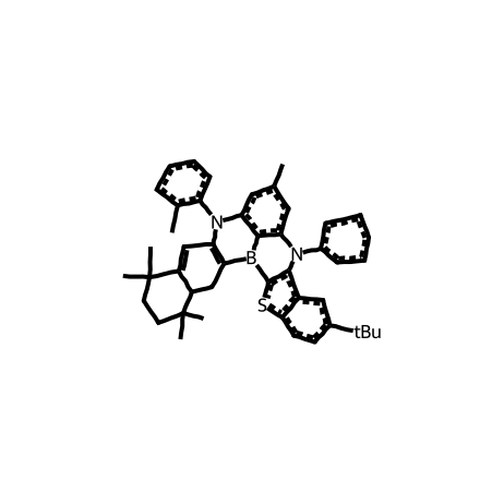 Cc1cc2c3c(c1)N(c1ccccc1)c1c(sc4ccc(C(C)(C)C)cc14)B3C1=C(C=C3C(C1)C(C)(C)CCC3(C)C)N2c1ccccc1C